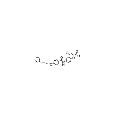 COC(=O)c1cc(=O)c2cc(NC(=O)c3ccc(OCCCCc4ccccc4)cc3)ccc2o1